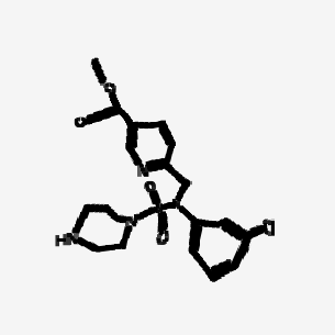 COC(=O)c1ccc(CN(c2cccc(Cl)c2)S(=O)(=O)N2CCNCC2)nc1